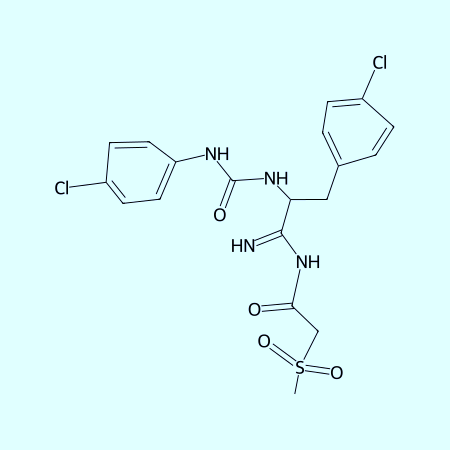 CS(=O)(=O)CC(=O)NC(=N)C(Cc1ccc(Cl)cc1)NC(=O)Nc1ccc(Cl)cc1